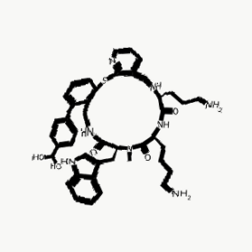 CN1C(=O)[C@H](CCCCN)NC(=O)[C@H](CCCN)NCc2cccnc2Sc2cccc(-c3ccc(C(O)O)cc3)c2CNC(=O)[C@@H]1Cc1c[nH]c2ccccc12